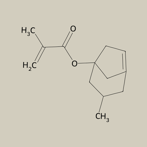 C=C(C)C(=O)OC12CC=C(CC(C)C1)C2